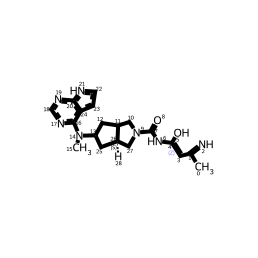 CC(=N)/C=C(\O)NC(=O)N1CC2CC(N(C)c3ncnc4[nH]ccc34)C[C@@H]2C1